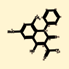 COc1cc(C)c2c(c1)c(O)c(C(=O)C(F)(F)F)c(=O)n2-c1ccccc1